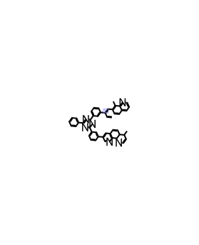 C=C/C(=C\c1ccc2cccnc2c1C)c1cccc(-c2nc(-c3ccccc3)nc(-c3cccc(-c4cnc5c(c4)C=CC4C5=NC=CC4C)c3)n2)c1